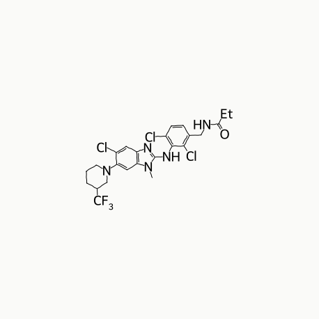 CCC(=O)NCc1ccc(Cl)c(Nc2nc3cc(Cl)c(N4CCCC(C(F)(F)F)C4)cc3n2C)c1Cl